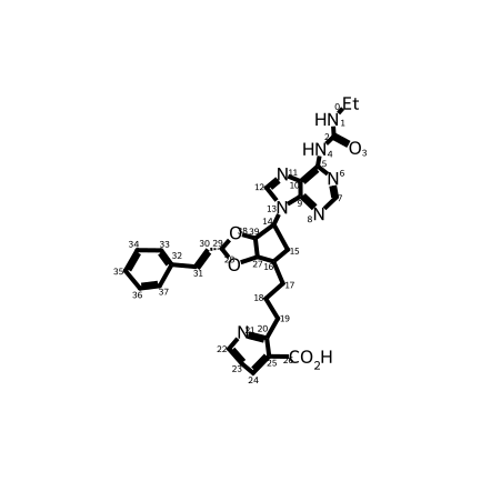 CCNC(=O)Nc1ncnc2c1ncn2C1CC(CCCc2ncccc2C(=O)O)C2O[C@H](/C=C/c3ccccc3)OC21